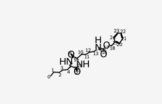 CCCCCC1NC(=O)C(CCCCNC(=O)OCc2ccccc2)NC1=O